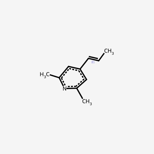 C/C=C/c1cc(C)nc(C)c1